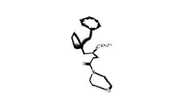 O=C(O)C(CC(=O)N1CCOCC1)CC1(Cc2ccccc2)CC1